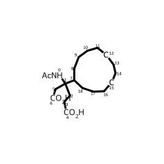 CC(=O)NC(CCC(=O)O)(CC(=O)O)C1CCCCCCCCCCC1